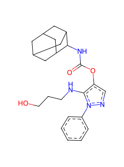 O=C(NC1C2CC3CC(C2)CC1C3)Oc1cnn(-c2ccccc2)c1NCCCO